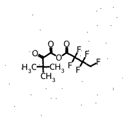 CC(C)(C)C(=O)C(=O)OC(=O)C(F)(F)C(F)(F)CF